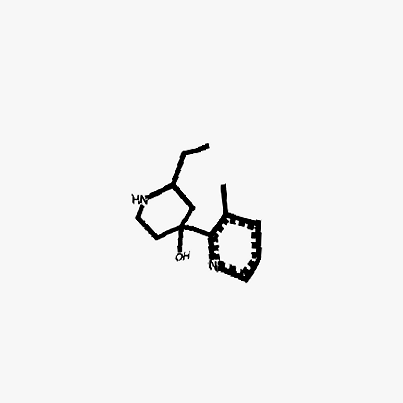 CCC1CC(O)(c2ncccc2C)CCN1